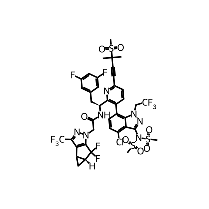 CC(C)(C#Cc1ccc(-c2ccc(Cl)c3c(N(S(C)(=O)=O)S(C)(=O)=O)nn(CC(F)(F)F)c23)c([C@H](Cc2cc(F)cc(F)c2)NC(=O)Cn2nc(C(F)(F)F)c3c2C(F)(F)[C@@H]2CC32)n1)S(C)(=O)=O